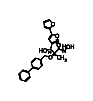 C[C@@](OCc1ccc(-c2ccccc2)cc1)(C(=O)NO)[C@@H](O)c1cc(-c2ccco2)on1